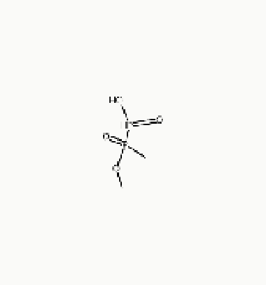 COP(C)(=O)[PH](=O)O